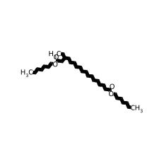 CCCCCCCOC(=O)CCCCCCCCCCCCCCC(CC)CC(=O)OCCCCCCC